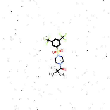 CC(C)(C)C(=O)N1CCN(S(=O)(=O)c2cc(C(F)(F)F)cc(C(F)(F)F)c2)CC1